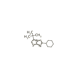 CC(C)(C)c1csc2nc(C3CCCCC3)[c]n12